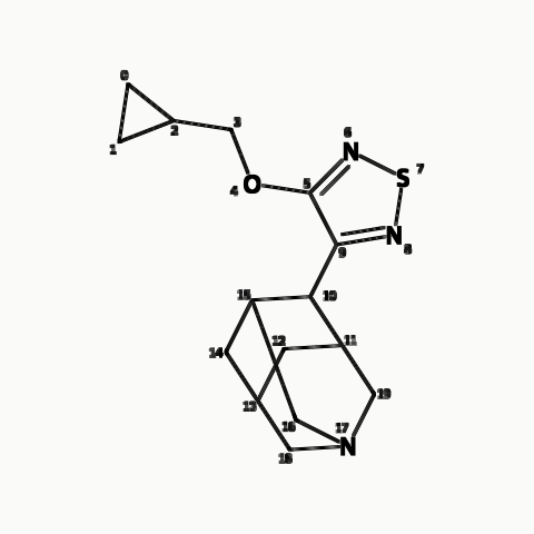 C1CC1COc1nsnc1C1C2CC3CC1CN(C3)C2